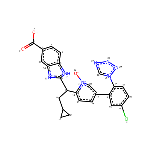 O=C(O)c1ccc2[nH]c(C(CC3CC3)c3ccc(-c4cc(Cl)ccc4-n4cnnn4)c[n+]3[O-])nc2c1